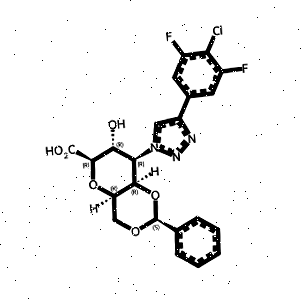 O=C(O)[C@@H]1O[C@@H]2CO[C@H](c3ccccc3)O[C@@H]2[C@H](n2cc(-c3cc(F)c(Cl)c(F)c3)nn2)[C@H]1O